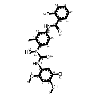 COc1cc(OC)c(NC(=O)N(S)c2ccc(NC(=O)c3ccccc3F)cc2C)cc1Cl